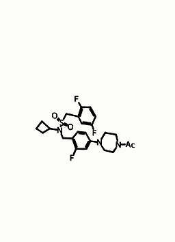 CC(=O)N1CCN(c2ccc(CN(C3CCC3)S(=O)(=O)Cc3cc(F)ccc3F)c(F)c2)CC1